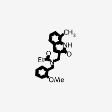 CCC(=O)N(Cc1ccccc1OC)Cc1cc2cccc(C)c2[nH]c1=O